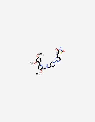 COc1ccc(-c2ccc(OC)c(CNCC3CCN(c4nccc(/C=C5\SC(=O)NC5=O)n4)CC3)n2)c(OC)c1